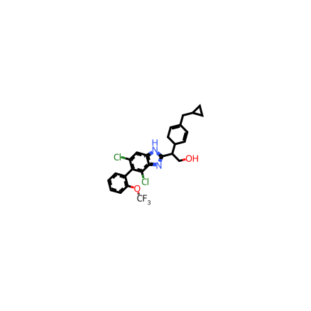 OCC(c1nc2c(Cl)c(-c3ccccc3OC(F)(F)F)c(Cl)cc2[nH]1)C1C=CC(CC2CC2)=CC1